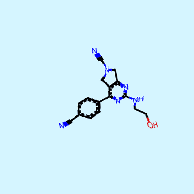 N#Cc1ccc(-c2nc(NCCO)nc3c2CN(C#N)C3)cc1